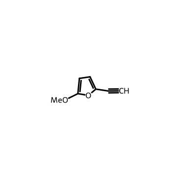 C#Cc1ccc(OC)o1